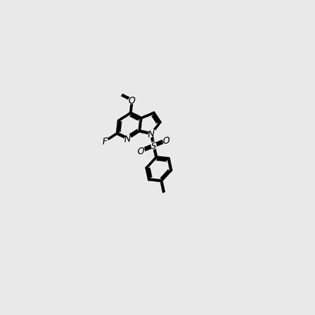 COc1cc(F)nc2c1ccn2S(=O)(=O)c1ccc(C)cc1